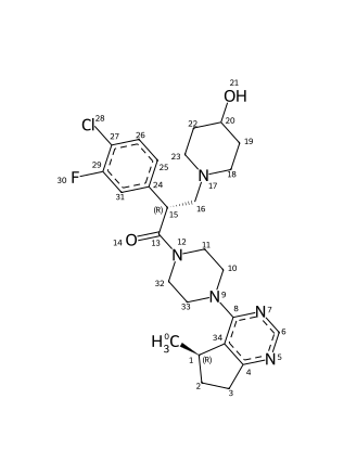 C[C@@H]1CCc2ncnc(N3CCN(C(=O)[C@@H](CN4CCC(O)CC4)c4ccc(Cl)c(F)c4)CC3)c21